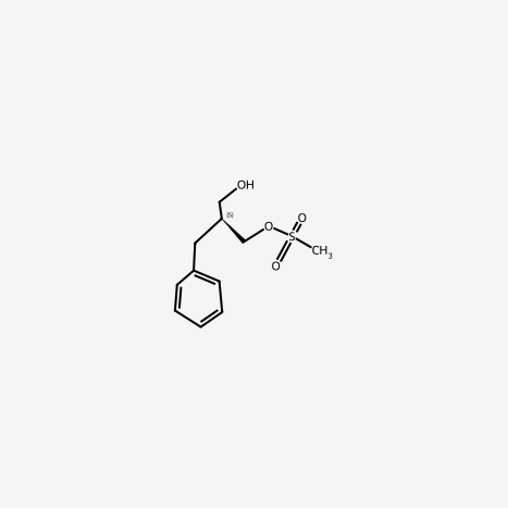 CS(=O)(=O)OC[C@H](CO)Cc1ccccc1